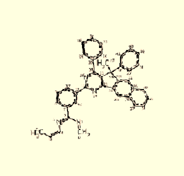 C=N/C(=N\C=C/C)c1cccc(-c2nc(-c3ccccc3)c3c(n2)-c2cc4ccccc4cc2C3(C)c2ccccc2)c1